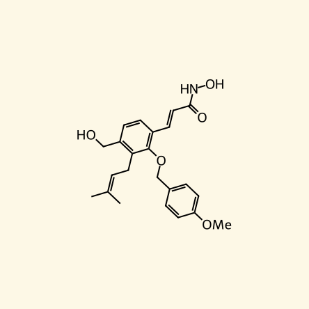 COc1ccc(COc2c(/C=C/C(=O)NO)ccc(CO)c2CC=C(C)C)cc1